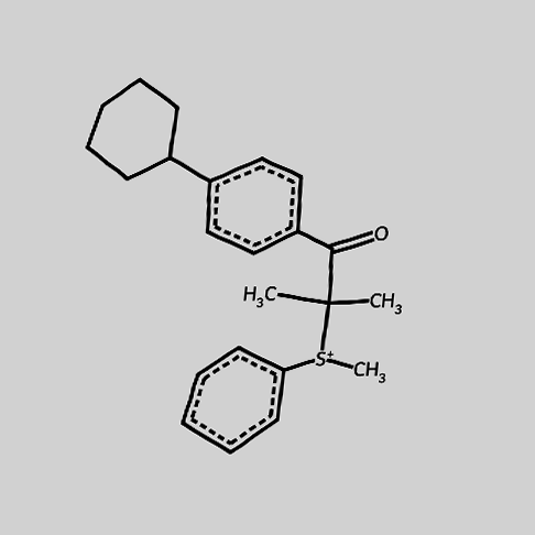 C[S+](c1ccccc1)C(C)(C)C(=O)c1ccc(C2CCCCC2)cc1